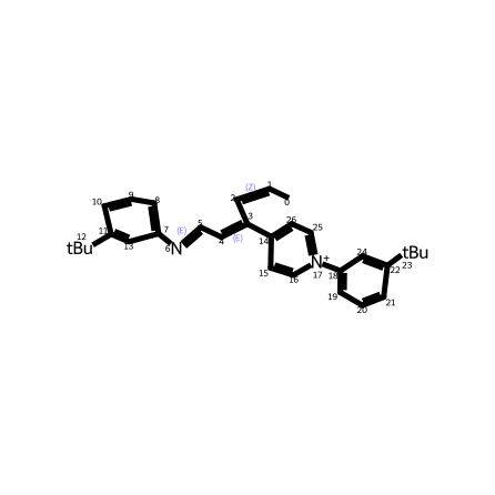 C\C=C/C(=C\C=N\c1cccc(C(C)(C)C)c1)c1cc[n+](-c2cccc(C(C)(C)C)c2)cc1